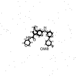 CO[C@@H]1CCN(c2nccc(Nc3cc4c(cn3)c(C(=O)NC3CCOCC3)cn4C(C)C)n2)C[C@@H]1F